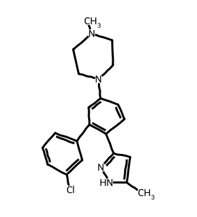 Cc1cc(-c2ccc(N3CCN(C)CC3)cc2-c2cccc(Cl)c2)n[nH]1